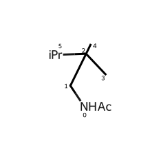 CC(=O)NCC(C)(C)C(C)C